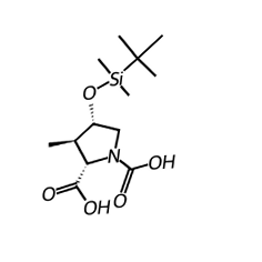 C[C@@H]1[C@@H](C(=O)O)N(C(=O)O)C[C@H]1O[Si](C)(C)C(C)(C)C